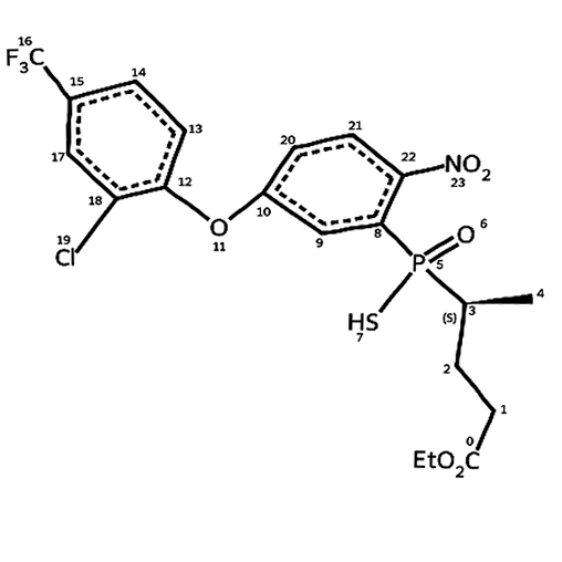 CCOC(=O)CC[C@H](C)P(=O)(S)c1cc(Oc2ccc(C(F)(F)F)cc2Cl)ccc1[N+](=O)[O-]